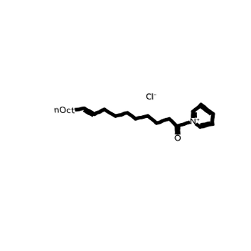 CCCCCCCCC=CCCCCCCCC(=O)[n+]1ccccc1.[Cl-]